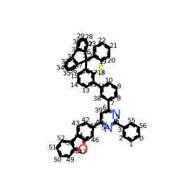 c1ccc(-c2nc(-c3cccc(-c4cccc5c4Sc4ccccc4C54c5ccccc5-c5ccccc54)c3)cc(-c3ccc4c(c3)oc3ccccc34)n2)cc1